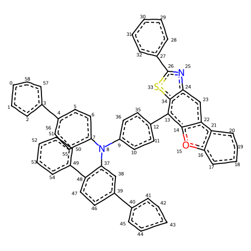 c1ccc(-c2ccc(N(c3ccc(-c4c5oc6ccccc6c5cc5nc(-c6ccccc6)sc45)cc3)c3cc(-c4ccccc4)ccc3-c3ccccc3)cc2)cc1